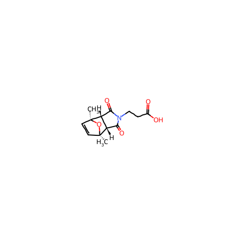 C[C@]12C=C[C@](C)(O1)[C@@H]1C(=O)N(CCC(=O)O)C(=O)[C@@H]12